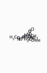 COC(=O)[C@H](C)[C@H](C)n1c(=O)[nH]/c(=N\c2ccc(Oc3ccc(C)cn3)cc2)n(Cc2ccc(Cl)cc2)c1=O